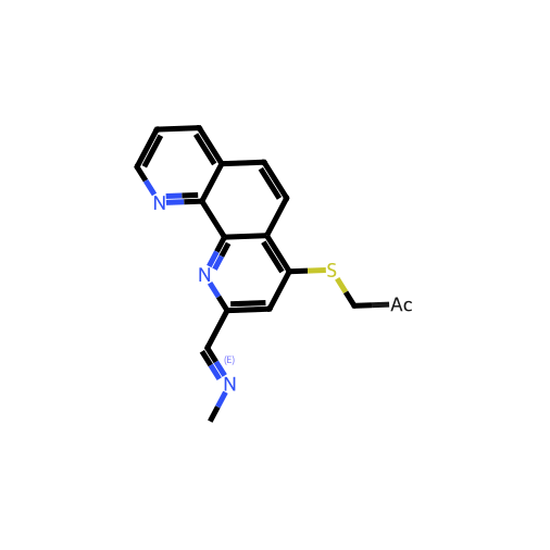 C/N=C/c1cc(SCC(C)=O)c2ccc3cccnc3c2n1